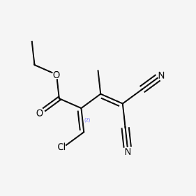 CCOC(=O)/C(=C\Cl)C(C)=C(C#N)C#N